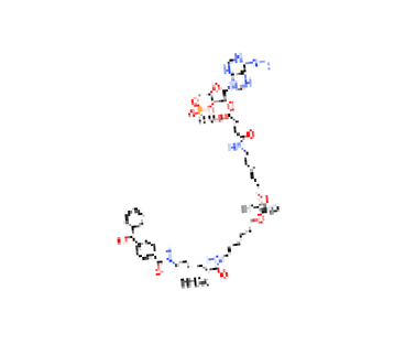 COP1(=O)OCC2OC(n3cnc4c(N)ncnc43)C(OC(=O)CCC(=O)NCCCCCCO[Si](OCCCCCCNC(=O)C(CCCCNC(=O)c3ccc(C(=O)c4ccccc4)cc3)NC(C)=O)(C(C)C)C(C)C)C2O1